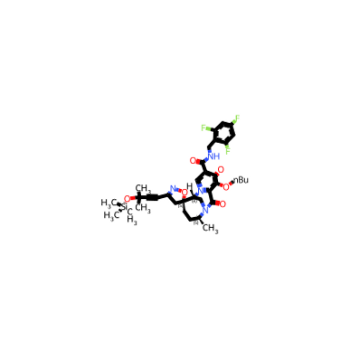 CCCCOc1c2n(cc(C(=O)NCc3c(F)cc(F)cc3F)c1=O)[C@@H]1CN(C2=O)[C@@H](C)CC[C@]12CC(C#CC(C)(C)O[Si](C)(C)C)=NO2